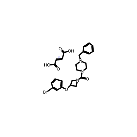 O=C(N1CCN(Cc2ccccc2)CC1)N1CC(Oc2cccc(Br)c2)C1.O=C(O)/C=C/C(=O)O